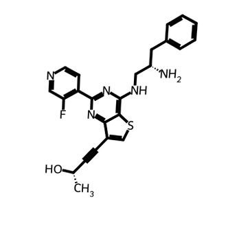 C[C@H](O)C#Cc1csc2c(NC[C@@H](N)Cc3ccccc3)nc(-c3ccncc3F)nc12